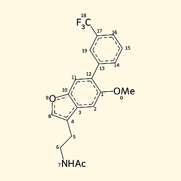 COc1cc2c(CCNC(C)=O)coc2cc1-c1cccc(C(F)(F)F)c1